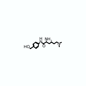 CN(C)CCCC[C@H](N)C(=O)Nc1ccc(CO)cc1